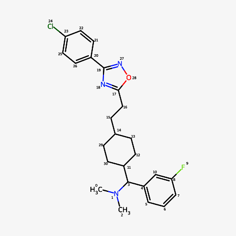 CN(C)C(c1cccc(F)c1)C1CCC(CCc2nc(-c3ccc(Cl)cc3)no2)CC1